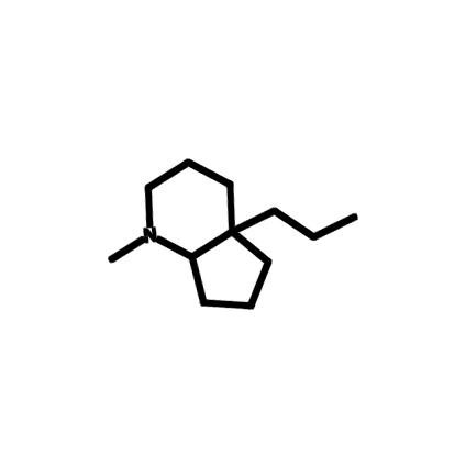 CCCC12CCCC1N(C)CCC2